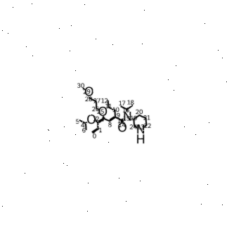 C=C/C(OC(C)C)=C(\C=C(/CCC)C(=O)N(C(C)C)[C@@H]1CCCNC1)OCCCOC